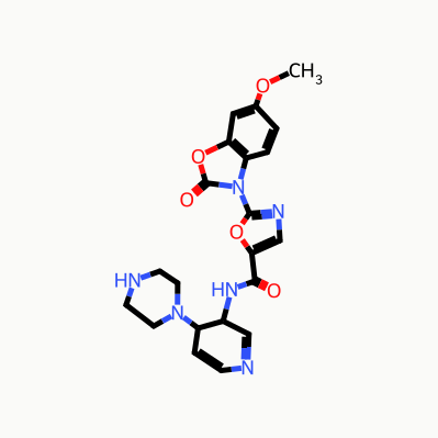 COc1ccc2c(c1)oc(=O)n2-c1ncc(C(=O)NC2C=NC=CC2N2CCNCC2)o1